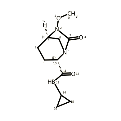 CON1C(=O)N2C[C@H]1CC[C@H]2C(=O)BC1CC1